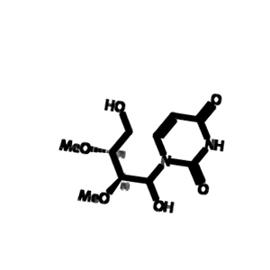 CO[C@H](C(O)n1ccc(=O)[nH]c1=O)[C@@H](CO)OC